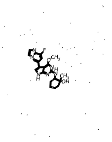 COc1nc(NC2CCCCC2(C)O)nc2[nH]cc(-c3cc(F)c4nccn4c3)c12